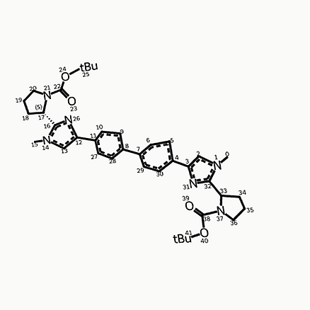 Cn1cc(-c2ccc(-c3ccc(-c4cn(C)c([C@@H]5CCCN5C(=O)OC(C)(C)C)n4)cc3)cc2)nc1C1CCCN1C(=O)OC(C)(C)C